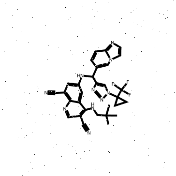 CC(C)(C)CNc1c(C#N)cnc2c(C#N)cc(NC(c3ccc4nccn4c3)c3cn(C4(C(F)(F)F)CC4)nn3)cc12